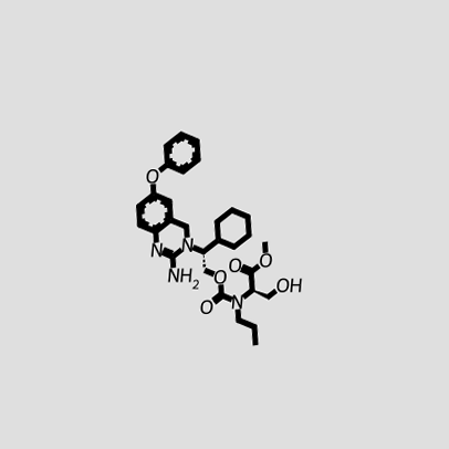 CCCN(C(=O)OC[C@@H](C1CCCCC1)N1Cc2cc(Oc3ccccc3)ccc2N=C1N)[C@H](CO)C(=O)OC